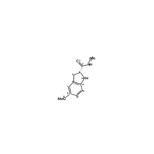 CCCCNC(=O)[C@H]1Cc2cc(OC)ccc2N1